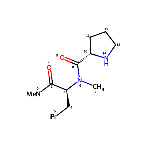 CNC(=O)[C@H](CC(C)C)N(C)C(=O)[C@@H]1CCCN1